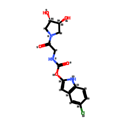 O=C(NCC(=O)N1C[C@H](O)[C@@H](O)C1)Oc1cc2cc(Cl)ccc2[nH]1